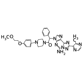 COCCOc1ccc(N2CCN(C(=O)C(c3ccccc3)n3cnc4c3nc(N)n3nc(-c5nccnc5C)nc43)CC2)cc1